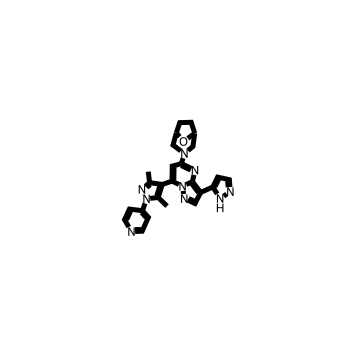 Cc1nn(-c2ccncc2)c(C)c1-c1cc(N2CC3CCC(C2)O3)nc2c(-c3ccn[nH]3)cnn12